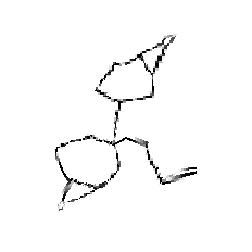 C=CCC1(C2CCC3OC3C2)CCC2OC2C1